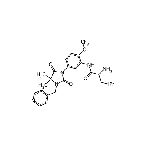 CC(C)CC(N)C(=O)Nc1cc(N2C(=O)N(Cc3ccncc3)C(C)(C)C2=O)ccc1OC(F)(F)F